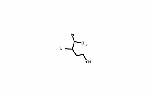 CC(Br)C(C#N)CCC#N